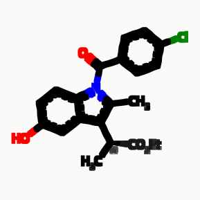 CCOC(=O)[C@@H](C)c1c(C)n(C(=O)c2ccc(Cl)cc2)c2ccc(O)cc12